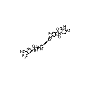 CC(C)(C(=O)Nc1cnc(C#N)c(C(F)(F)F)c1)n1cc(C#CC2CN(c3cc4c(cc3F)C(=O)N(C3CCC(=O)NC3=O)C4=O)C2)cn1